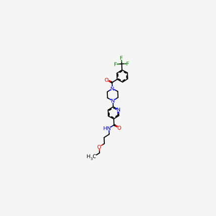 CCOCCCNC(=O)c1ccc(N2CCN(C(=O)c3cccc(C(F)(F)F)c3)CC2)nc1